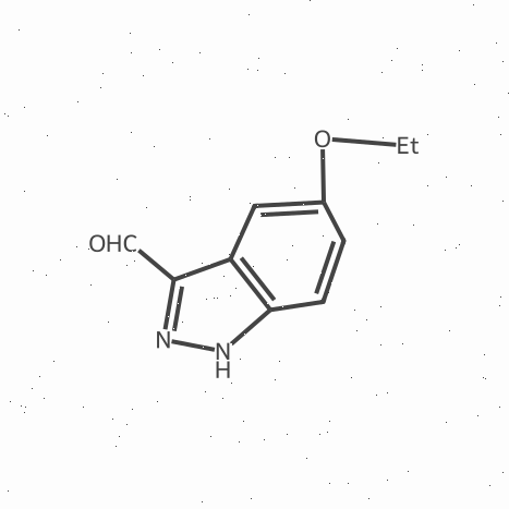 CCOc1ccc2[nH]nc(C=O)c2c1